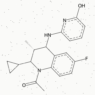 CC(=O)N1c2ccc(F)cc2C(Nc2cccc(O)n2)[C@@H](C)C1C1CC1